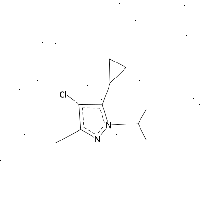 Cc1nn(C(C)C)c(C2CC2)c1Cl